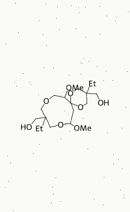 CCC1(CO)COCC(OC)C2(CC(OC)OC1)OCC(CC)(CO)CO2